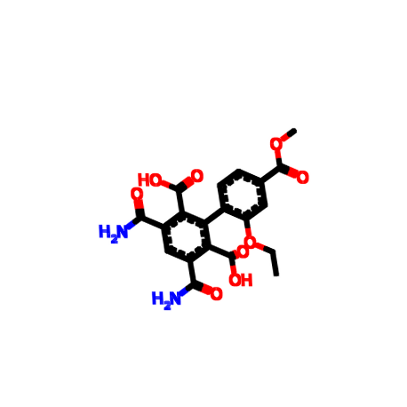 CCOc1cc(C(=O)OC)ccc1-c1c(C(=O)O)c(C(N)=O)cc(C(N)=O)c1C(=O)O